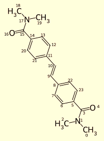 CN(C)C(=O)c1ccc(C=Cc2ccc(C(=O)N(C)C)cc2)cc1